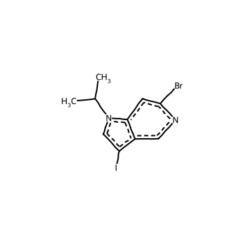 CC(C)n1cc(I)c2cnc(Br)cc21